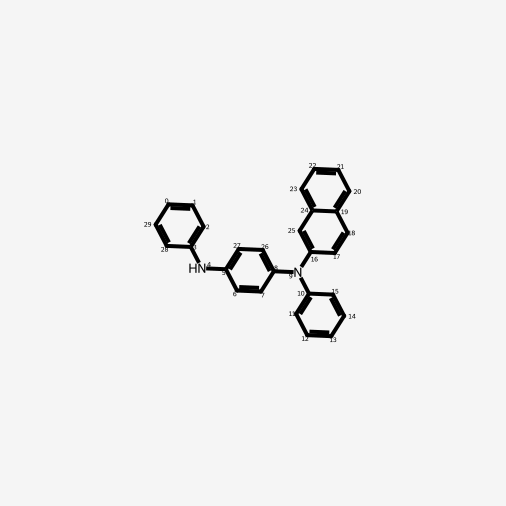 c1ccc(Nc2ccc(N(c3ccccc3)c3ccc4ccccc4c3)cc2)cc1